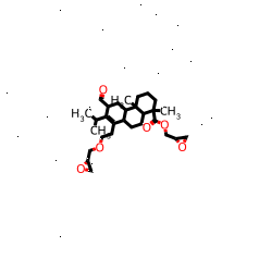 CC(C)C1=C(CCOCC2CO2)C2CCC3C(C)(C(=O)OCC4CO4)CCCC3(C)C2CC1C=O